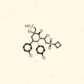 CCC(CS(=O)(=O)C1CCC1)N1C(=O)[C@@](CC)(CC(=O)O)CC(c2cccc(Cl)c2)[C@H]1c1ccc(Cl)cc1